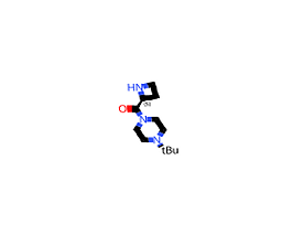 CC(C)(C)N1CCN(C(=O)[C@@H]2CCN2)CC1